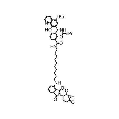 CCCC(=O)NC(c1cccc(C(=O)NCCCCCCCCCCNc2cccc3c2C(=O)N(C2CCC(=O)NC2=O)C3=O)c1)c1cc(C(C)(C)C)c2cccnc2c1O